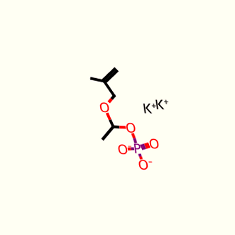 C=C(C)COC(C)OP(=O)([O-])[O-].[K+].[K+]